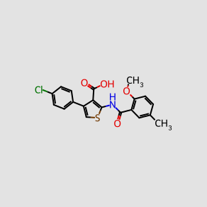 COc1ccc(C)cc1C(=O)Nc1scc(-c2ccc(Cl)cc2)c1C(=O)O